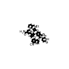 CCN(CC1CCCN(c2cc(C(N)=O)cc(C3C(C)(C)C(Oc4ccc(C#N)c5ncccc45)C3(C)C)n2)C1)C1CCC1Oc1ccc2c(c1)C(=O)N(C1CCC(=O)NC1=O)C2=O